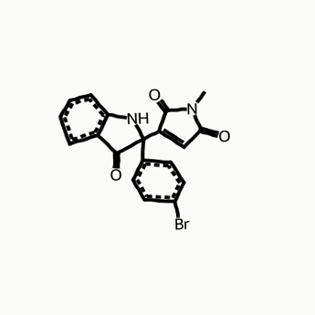 CN1C(=O)C=C(C2(c3ccc(Br)cc3)Nc3ccccc3C2=O)C1=O